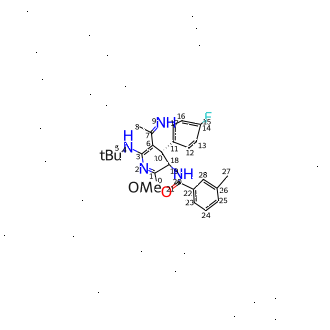 COC1=NC(NC(C)(C)C)=C(C(C)=N)[C@H](c2ccc(F)cc2)C1NC(=O)c1cccc(C)c1